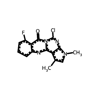 Cc1cn(C)c2nc(Cl)n3c(=O)c4c(F)cccc4nc3c12